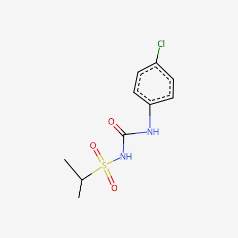 CC(C)S(=O)(=O)NC(=O)Nc1ccc(Cl)cc1